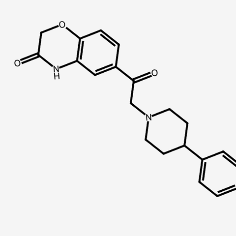 O=C1COc2ccc(C(=O)CN3CCC(c4ccccc4)CC3)cc2N1